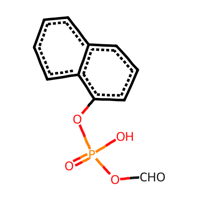 O=COP(=O)(O)Oc1cccc2ccccc12